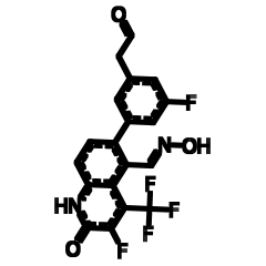 O=CCc1cc(F)cc(-c2ccc3[nH]c(=O)c(F)c(C(F)(F)F)c3c2C=NO)c1